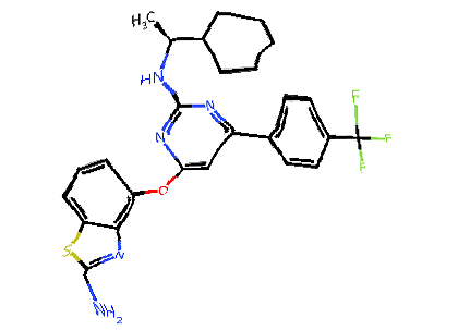 C[C@H](Nc1nc(Oc2cccc3sc(N)nc23)cc(-c2ccc(C(F)(F)F)cc2)n1)C1CCCCC1